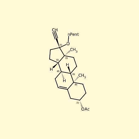 C#C[C@]1(OCCCCC)CC[C@H]2[C@@H]3CC=C4C[C@@H](OC(C)=O)CC[C@]4(C)[C@H]3CC[C@@]21C